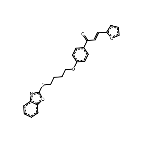 O=C(C=Cc1ccco1)c1ccc(OCCCCSc2nc3ccccc3o2)cc1